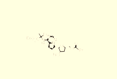 CCOC(=O)C(C)(CC)Nc1ncnn2c([C@@H]3O[C@H](COC(=O)C(C)C)C[C@H]3O)ccc12